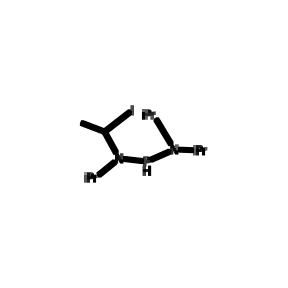 CC(C)N(PN(C(C)C)C(C)I)C(C)C